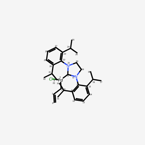 C=C[CH2][Pd]([Cl])[CH]1N(c2c(C(C)C)cccc2C(C)C)CCN1c1c(C(C)C)cccc1C(C)C